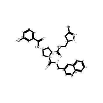 O=C(N[C@@H]1C[C@@H](C(=O)NCC2CC(Br)=NO2)N(C(=O)OCc2cnc3ccccc3c2)C1)c1cccc(O)c1